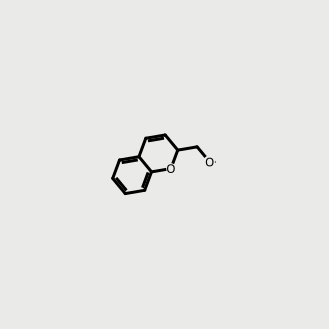 [O]CC1C=Cc2ccccc2O1